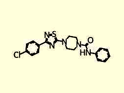 O=C(Nc1ccccc1)N1CCN(c2nc(-c3ccc(Cl)cc3)ns2)CC1